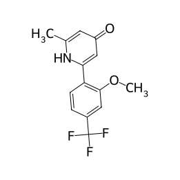 COc1cc(C(F)(F)F)ccc1-c1cc(=O)cc(C)[nH]1